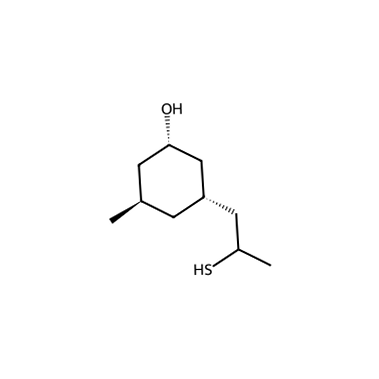 CC(S)C[C@@H]1C[C@@H](C)C[C@H](O)C1